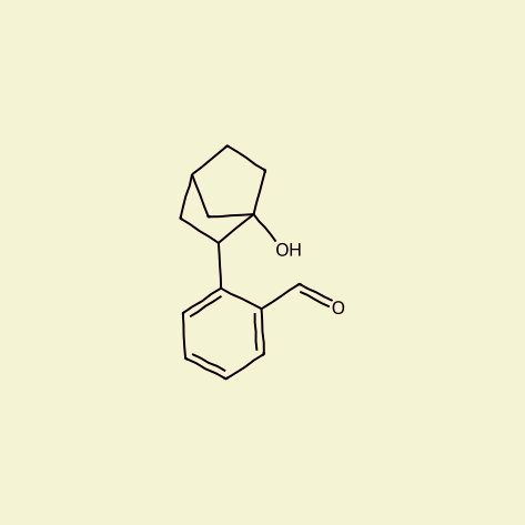 O=Cc1ccccc1C1CC2CCC1(O)C2